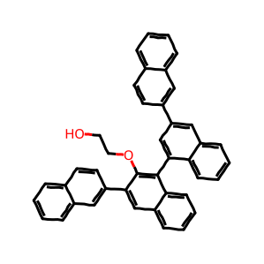 OCCOc1c(-c2ccc3ccccc3c2)cc2ccccc2c1-c1cc(-c2ccc3ccccc3c2)cc2ccccc12